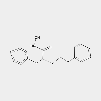 O=C(NO)C(CCCc1ccccc1)Cc1ccccc1